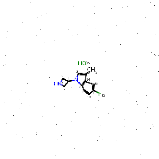 Cc1cn(C2CNC2)c2ccc(F)cc12.Cl